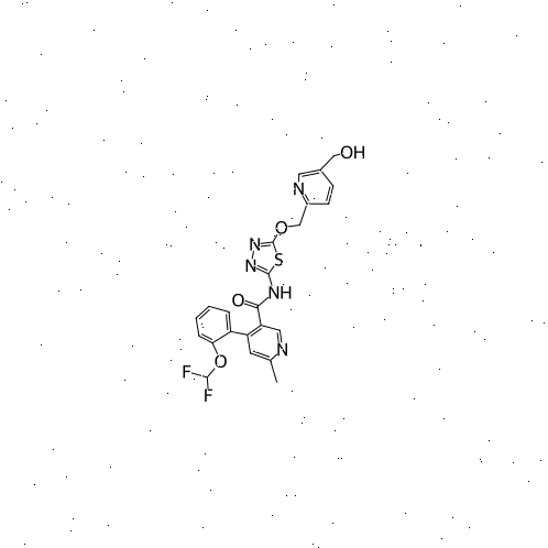 Cc1cc(-c2ccccc2OC(F)F)c(C(=O)Nc2nnc(OCc3ccc(CO)cn3)s2)cn1